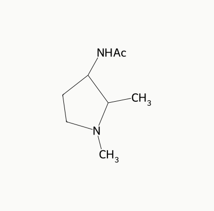 CC(=O)NC1CCN(C)C1C